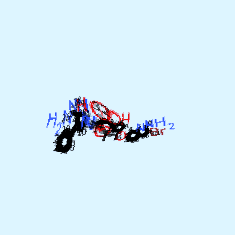 Nc1nc2cc(O[C@H]3CC[C@@]4(O)[C@@H]3O[C@@H](n3cc(-c5ccccc5)c5c(N)ncnc53)[C@@H]4O)ccc2cc1Br